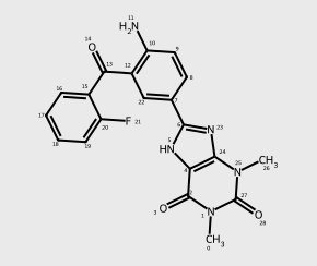 Cn1c(=O)c2[nH]c(-c3ccc(N)c(C(=O)c4ccccc4F)c3)nc2n(C)c1=O